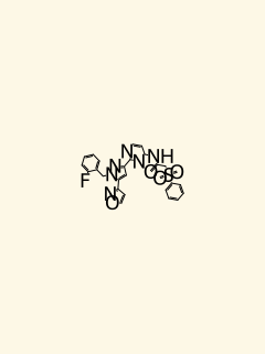 O=C(CS(=O)(=O)c1ccccc1)Nc1ccnc(-c2cc(-c3ccon3)n(Cc3ccccc3F)n2)n1